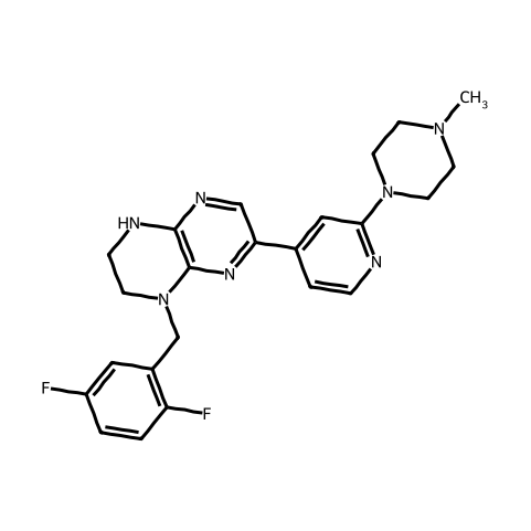 CN1CCN(c2cc(-c3cnc4c(n3)N(Cc3cc(F)ccc3F)CCN4)ccn2)CC1